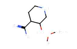 CC(C)(C)OC=O.N=C(N)C1CCNCC1O